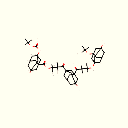 CCCC(C)(C)OC12CC3CC(O)(C1)CC(OC(C)(CC)C(CC)(CCC)C(=O)C14CC5CC(O)(CC(C(=O)C(C)(CC)C(CC)(CCC)OC(=O)C67CC8CC(O)(CC(OC(=O)OC(C)(C)CC)(C8)C6)C7)(C5)C1)C4)(C3)C2